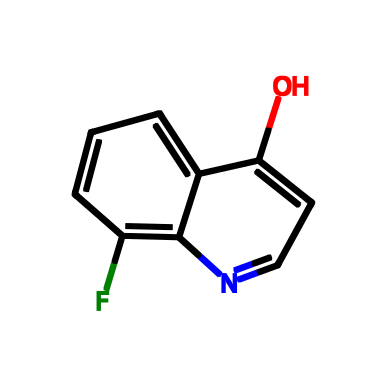 Oc1ccnc2c(F)cccc12